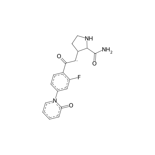 NC(=O)C1NCCC1[CH]C(=O)c1ccc(-n2ccccc2=O)cc1F